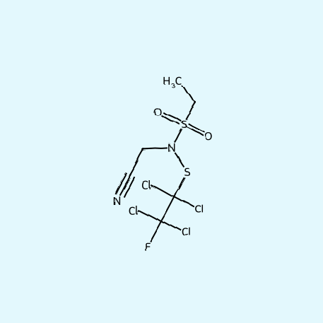 CCS(=O)(=O)N(CC#N)SC(Cl)(Cl)C(F)(Cl)Cl